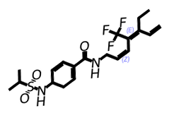 C=C/C(CC)=C(\C=C/CNC(=O)C1=CCC(NS(=O)(=O)C(C)C)C=C1)C(F)(F)F